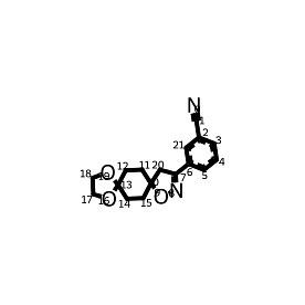 N#Cc1cccc(C2=NOC3(CCC4(CC3)OCCO4)C2)c1